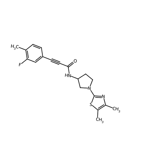 Cc1ccc(C#CC(=O)NC2CCN(c3nc(C)c(C)s3)C2)cc1F